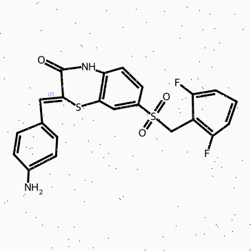 Nc1ccc(/C=C2\Sc3cc(S(=O)(=O)Cc4c(F)cccc4F)ccc3NC2=O)cc1